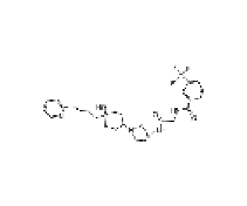 O=C(CNC(=O)c1cccc(C(F)(F)F)c1)N[C@@H]1CCN(C2CCC(O)(CCCCc3ccccn3)CC2)C1